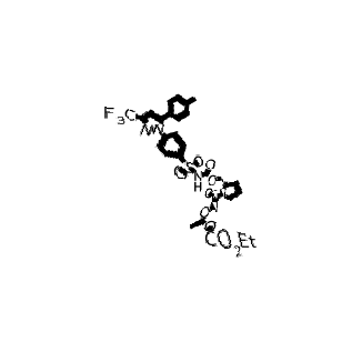 CCOC(=O)OC(C)ON=[N+]([O-])N1CCC[C@H]1COC(=O)NS(=O)(=O)c1ccc(-n2nc(C(F)(F)F)cc2-c2ccc(C)cc2)cc1